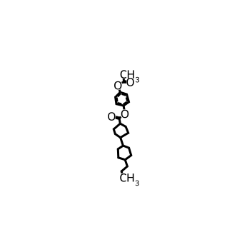 CCCC1CCC(C2CCC(C(=O)Oc3ccc(OC(C)=O)cc3)CC2)CC1